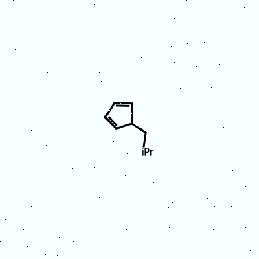 CC(C)CC1[C]=CC=C1